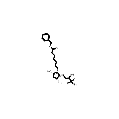 CCCCC(F)(F)C(O)CC[C@@H]1[C@@H](CCCCCCC(=O)OCc2ccccc2)[C@@H](O)C[C@H]1C